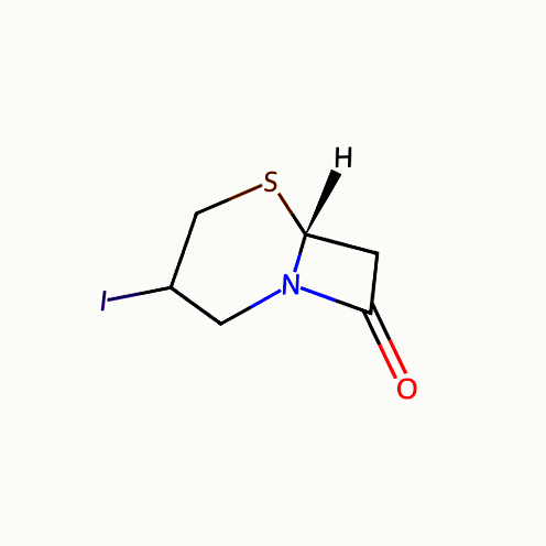 O=C1C[C@H]2SCC(I)CN12